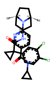 O=C(NC1CC1)c1ccc(N2[C@@H]3CC[C@H]2C[C@@H](NC(=O)C2(c4ccc(Cl)c(Cl)c4)CC2)C3)nc1